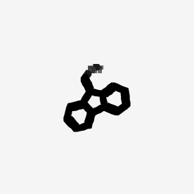 CCCC=C1c2ccccc2-c2ccccc21